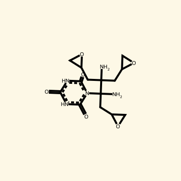 NC(CC1CO1)(CC1CO1)C(N)(CC1CO1)n1c(=O)[nH]c(=O)[nH]c1=O